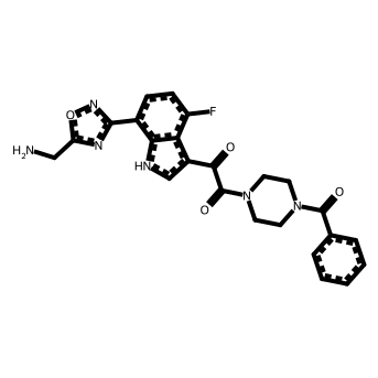 NCc1nc(-c2ccc(F)c3c(C(=O)C(=O)N4CCN(C(=O)c5ccccc5)CC4)c[nH]c23)no1